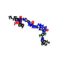 CC(C)C[C@H](NC(=O)[C@@H](O)[C@H](C)Cc1ccccc1)C(=O)NCCN1CC[C@]2(CCN(CC(=O)NCCCNc3cc(N4CCC5(CC4)CN(c4cc(F)c(CN6CCC(C)(C)CC6)cc4F)CC(=O)N5)ncn3)C2)C1